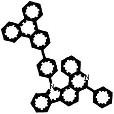 c1ccc(-c2nc3ccccc3c3c2ccc2c4ccccc4n(-c4ccc(-c5ccc6c7ccccc7c7ccccc7c6c5)cc4)c23)cc1